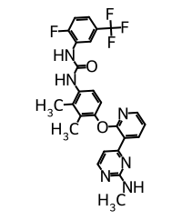 CNc1nccc(-c2cccnc2Oc2ccc(NC(=O)Nc3cc(C(F)(F)F)ccc3F)c(C)c2C)n1